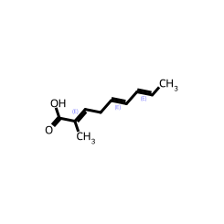 C/C=C/C=C/C/C=C(\C)C(=O)O